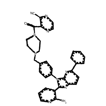 N#Cc1nccnc1C(=O)N1CCN(Cc2ccc(-n3c(-c4cccnc4N)nc4ccc(-c5ccccc5)nc43)cc2)CC1